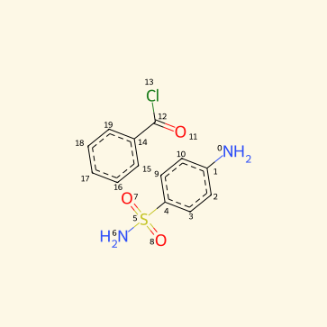 Nc1ccc(S(N)(=O)=O)cc1.O=C(Cl)c1ccccc1